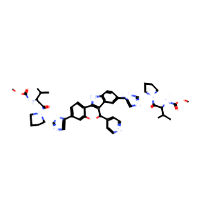 COC(=O)NC(C(=O)N1CCC[C@H]1c1ncc(-c2ccc3[nH]c4c(c3c2)C(c2ccncc2)Oc2cc(-c3cnc([C@@H]5CCCN5C(=O)[C@@H](NC(=O)OC)C(C)C)[nH]3)ccc2-4)[nH]1)C(C)C